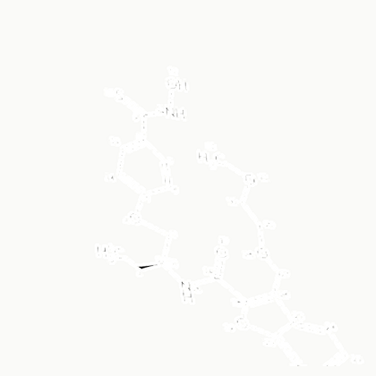 CC[C@@H](COc1ccc(C(=S)NO)cc1)NC(=O)c1oc2ccccc2c1COCCOC